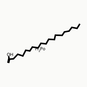 C=C(O)CCCCCCCCCCCCCCCCCC.[PoH2]